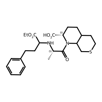 CCOC(=O)C(CCc1ccccc1)N[C@@H](C)C(=O)N1C2CSCCC2CC[C@H]1C(=O)O